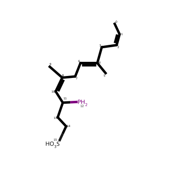 C/C=C\C/C(C)=C/C/C(C)=C\C(P)CCS(=O)(=O)O